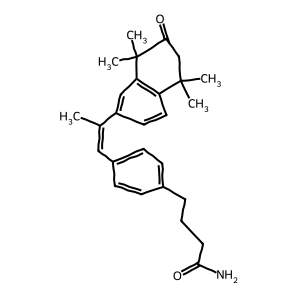 C/C(=C/c1ccc(CCCC(N)=O)cc1)c1ccc2c(c1)C(C)(C)C(=O)CC2(C)C